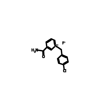 NC(=O)c1ccc[n+](Cc2ccc(Cl)cc2)c1.[F-]